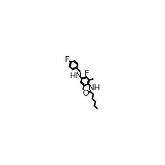 CCCCCC(=O)Nc1c(C)cc(NCc2ccc(F)cc2)c(F)c1C